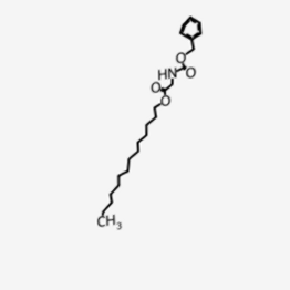 CCCCCCCCCCCCCCOC(=O)CNC(=O)OCc1ccccc1